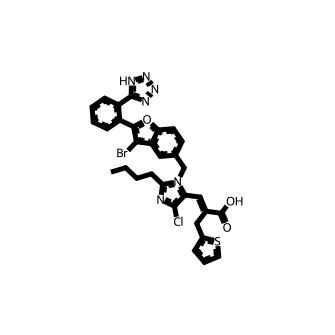 CCCCc1nc(Cl)c(C=C(Cc2cccs2)C(=O)O)n1Cc1ccc2oc(-c3ccccc3-c3nnn[nH]3)c(Br)c2c1